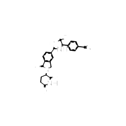 N#Cc1ccc([C@@H](NC(=O)c2ccc3c(c2)CN(C2CCC(=O)NC2=O)C3=O)C(F)(F)F)cc1